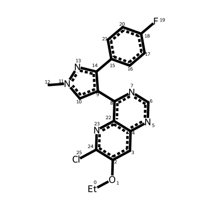 CCOc1cc2ncnc(-c3cn(C)nc3-c3ccc(F)cc3)c2nc1Cl